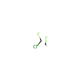 F[CH]Cl.[CH]F